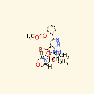 COCOc1ccccc1-c1cc2c(Br)c(C3(C)C[C@H]4COC[C@@H](C3)N4C(=O)OC(C)(C)C)[nH]c2nn1